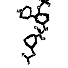 O=S(=O)(Nc1ccc(OC(F)(F)F)c(N2CCNCC2)c1)c1cccc(OC(F)F)c1